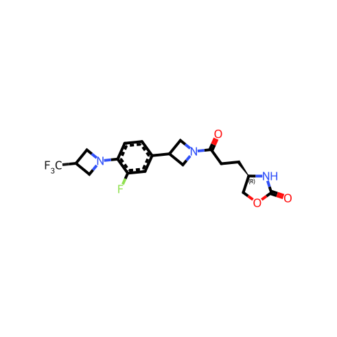 O=C1N[C@H](CCC(=O)N2CC(c3ccc(N4CC(C(F)(F)F)C4)c(F)c3)C2)CO1